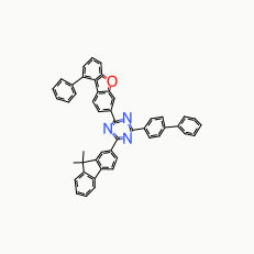 CC1(C)c2ccccc2-c2ccc(-c3nc(-c4ccc(-c5ccccc5)cc4)nc(-c4ccc5c(c4)oc4cccc(-c6ccccc6)c45)n3)cc21